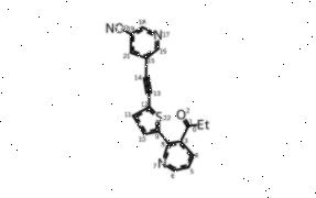 CCC(=O)c1cccnc1-c1ccc(C#Cc2cncc(C#N)c2)s1